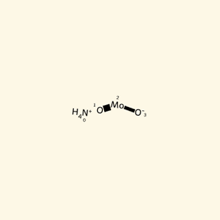 [NH4+].[O]=[Mo][O-]